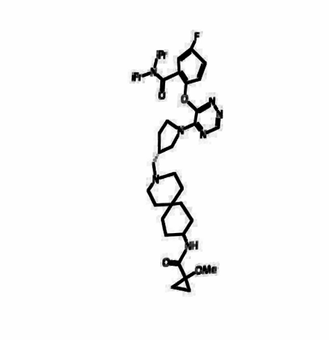 COC1(C(=O)NC2CCC3(CC2)CCN(C[C@@H]2CCN(c4ncnnc4Oc4ccc(F)cc4C(=O)N(C(C)C)C(C)C)C2)CC3)CC1